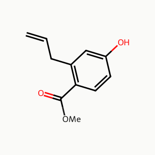 C=CCc1cc(O)ccc1C(=O)OC